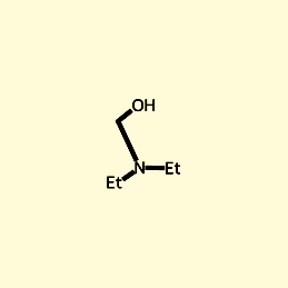 CCN(CC)CO